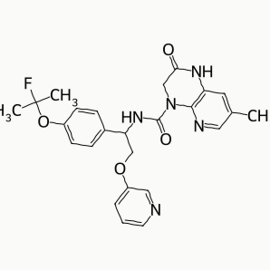 Cc1cnc2c(c1)NC(=O)CN2C(=O)NC(COc1cccnc1)c1ccc(OC(C)(C)F)cc1